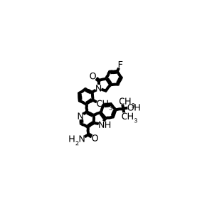 Cc1c(-c2ncc(C(N)=O)c3[nH]c4cc(C(C)(C)O)ccc4c23)cccc1N1Cc2ccc(F)cc2C1=O